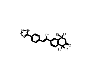 CCC(=Cc1ccc(-c2nnn[nH]2)cc1)c1ccc2c(c1)C(CC)(CC)CC(=O)C2(CC)CC